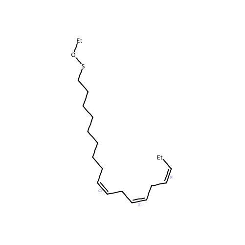 CC/C=C\C/C=C\C/C=C\CCCCCCCCSOCC